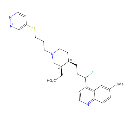 COc1ccc2nccc(C(F)CC[C@@H]3CCN(CCCSc4ccnnc4)C[C@@H]3CC(=O)O)c2c1